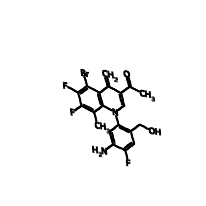 C=C1C(C(C)=O)=CN(c2cc(N)c(F)cc2CO)c2c(C)c(F)c(F)c(Br)c21